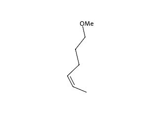 C/C=C\CCCOC